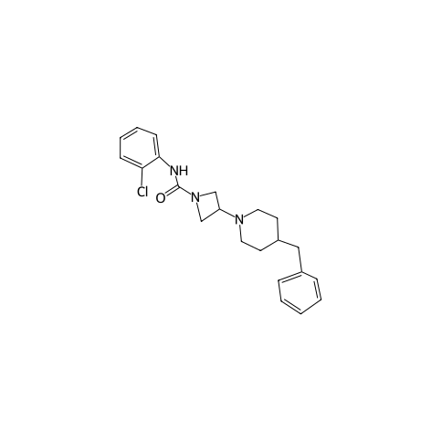 O=C(Nc1ccccc1Cl)N1CC(N2CCC(Cc3ccccc3)CC2)C1